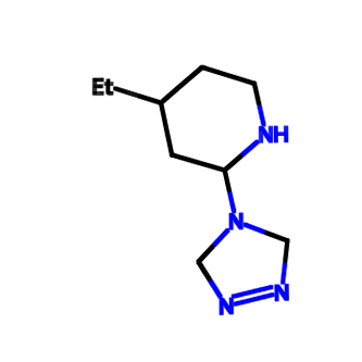 CCC1CCNC(N2CN=NC2)C1